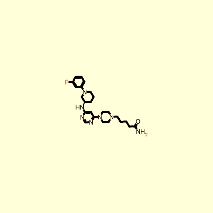 NC(=O)CCCCN1CCN(c2cc(N[C@@H]3CCCN(c4cccc(F)c4)C3)ncn2)CC1